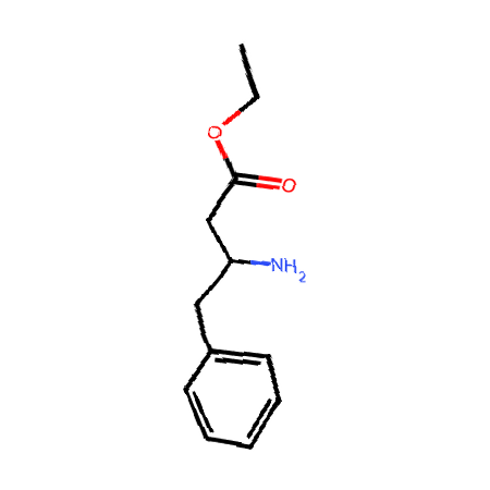 CCOC(=O)CC(N)Cc1ccccc1